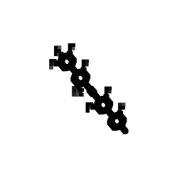 CCc1cc(-c2cc(F)c(F)c(F)c2)c(F)cc1C#Cc1c(F)cc(-c2ccc(C)cc2F)cc1F